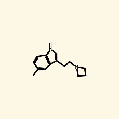 Cc1ccc2[nH]cc(CCN3CCC3)c2c1